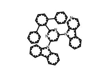 c1ccc(-c2cccc(-c3ccccc3)c2-c2nc(-n3c4ccccc4c4ccccc43)cc(-n3c4ccccc4c4ccncc43)n2)cc1